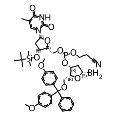 B[C@H]1C[C@@H](OP(OCCC#N)OC[C@H]2O[C@@H](n3cc(C)c(=O)[nH]c3=O)C[C@H]2O[Si](C)(C)C(C)(C)C)[C@@H](COC(c2ccccc2)(c2ccc(OC)cc2)c2ccc(OC)cc2)O1